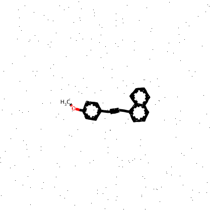 COc1ccc(C#Cc2cccc3ccccc23)cc1